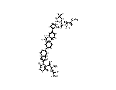 COC(=O)NC(C(=O)N1[C@@H]2CC[C@@H](C2)[C@H]1c1nc2ccc(-c3ccc4c(c3)C(F)(F)c3cc(-c5cnc([C@@H]6CC7(CC7)CN6C(=O)[C@@H](NC(=O)OC)C(C)C)[nH]5)ccc3-4)cc2[nH]1)C(C)C